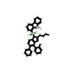 CCCCC1=Cc2c(ccc(-c3ccccc3)c2-c2ccccc2C)[CH]1[Zr]([Cl])([Cl])[c]1cccc2c1[SiH2]c1ccccc1-2